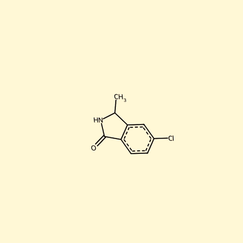 CC1NC(=O)c2ccc(Cl)cc21